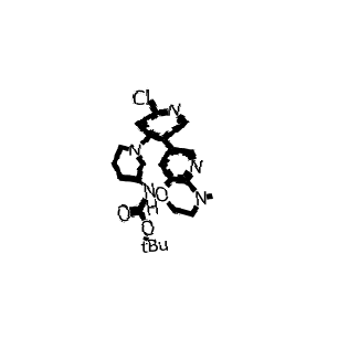 CN1CCOc2cc(-c3cnc(Cl)cc3N3CCC[C@H](NC(=O)OC(C)(C)C)C3)cnc21